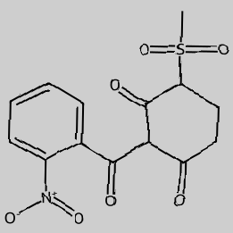 CS(=O)(=O)C1CCC(=O)C(C(=O)c2ccccc2[N+](=O)[O-])C1=O